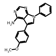 COc1ccc(-c2cn(-c3ccccc3)c3ncnc(N)c23)cc1